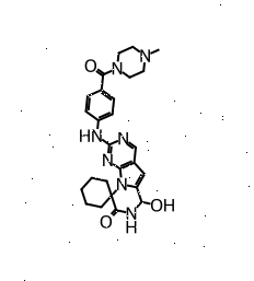 CN1CCN(C(=O)c2ccc(Nc3ncc4cc5n(c4n3)C3(CCCCC3)C(=O)NC5O)cc2)CC1